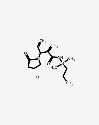 C=CC(C(=C)C(=O)N[N+](C)(C)CCC)N1CCCC1=O.[Cl-]